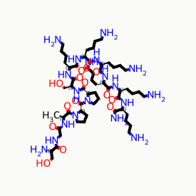 C[C@H](NC(=O)CNC(=O)[C@@H](N)CO)C(=O)N1CCC[C@H]1C(=O)N1CCC[C@H]1C(=O)N[C@@H](CO)C(=O)N[C@@H](CCCCN)C(=O)N[C@@H](CCCCN)C(=O)N[C@@H](CCCCN)C(=O)N[C@@H](CCCCN)C(=O)N[C@@H](CCCCN)C(=O)N[C@@H](CCCCN)C(N)=O